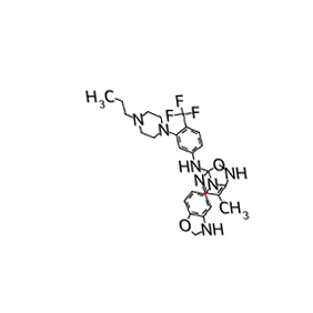 CCCN1CCN(c2cc(NC34N=CC(C)=C(NO3)N4c3ccc4c(c3)NCO4)ccc2C(F)(F)F)CC1